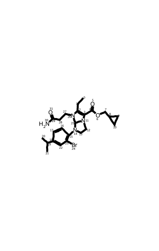 CCC1=C(C(=O)OCC2CC2)N2CCN(c3ccc(C(C)C)cc3Br)C2N1CCC(N)=O